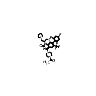 CC(=O)N1CCN(c2nc(=O)n3c4c(c(-c5ccc(F)cc5F)c(C(F)(F)F)cc24)SCC3CN2CCCC2)CC1